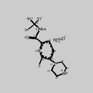 Cl.Cl.[2H]C([2H])([2H])NC(=O)c1ccc(N2CCNCC2)c(C)n1